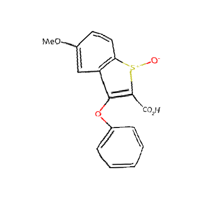 COc1ccc2c(c1)c(Oc1ccccc1)c(C(=O)O)[s+]2[O-]